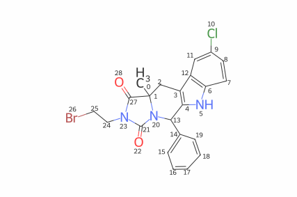 CC12Cc3c([nH]c4ccc(Cl)cc34)C(c3ccccc3)N1C(=O)N(CCBr)C2=O